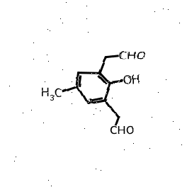 Cc1cc(CC=O)c(O)c(CC=O)c1